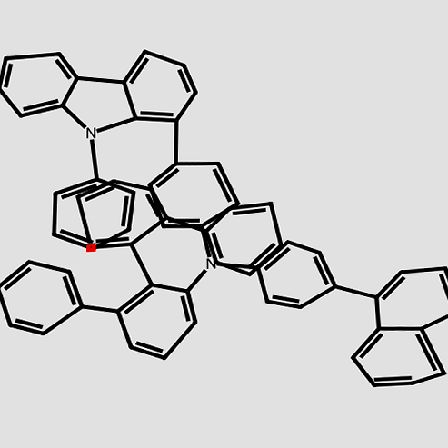 c1ccc(-c2ccccc2-c2c(-c3ccccc3)cccc2N(c2ccc(-c3cccc4ccccc34)cc2)c2ccc(-c3cccc4c5ccccc5n(-c5ccccc5)c34)cc2)cc1